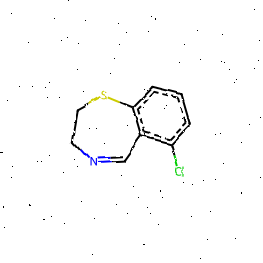 Clc1cccc2c1C=NCCS2